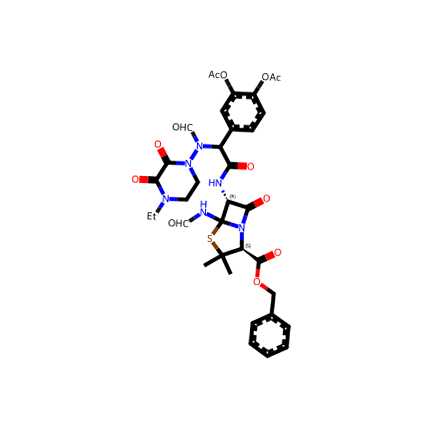 CCN1CCN(N(C=O)C(C(=O)N[C@@H]2C(=O)N3[C@@H](C(=O)OCc4ccccc4)C(C)(C)SC23NC=O)c2ccc(OC(C)=O)c(OC(C)=O)c2)C(=O)C1=O